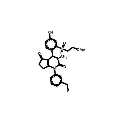 COCCS(=O)(=O)c1cc(C#N)ccc1C1C2=C(CCC2=O)N(c2cccc(CF)c2)C(=O)N1C